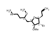 C=CC[C@@H]1O[C@H](C[C@@H](CCPP)OP)[C@H](OC)[C@H]1CC